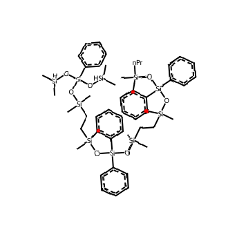 CCC[Si](C)(C)O[Si](O[Si](C)(C)CC[Si](C)(C)O[Si](O[Si](C)(C)CC[Si](C)(C)O[Si](O[SiH](C)C)(O[SiH](C)C)c1ccccc1)(c1ccccc1)c1ccccc1)(c1ccccc1)c1ccccc1